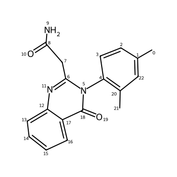 Cc1ccc(-n2c(CC(N)=O)nc3ccccc3c2=O)c(C)c1